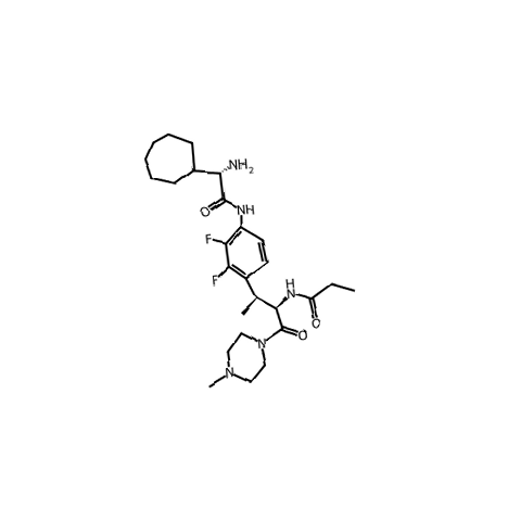 CCC(=O)N[C@@H](C(=O)N1CCN(C)CC1)[C@@H](C)c1ccc(NC(=O)[C@@H](N)C2CCCCCC2)c(F)c1F